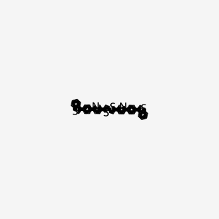 c1ccc2c(-c3ccc(-c4ccc(-c5cc6sc(-c7ccc(-c8ccc(-c9csc%10ccccc9%10)cc8)nc7)cc6s5)cn4)cc3)csc2c1